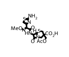 CON=C(C(=O)NC1C(=O)N2CC(COC(C)=O)(C(=O)O)CS[C@H]12)c1csc(N)n1